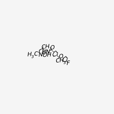 Cc1cc(C)c(CNC(=O)c2ccc(C(C)Oc3ccc(F)cc3)cc2)c(O)n1